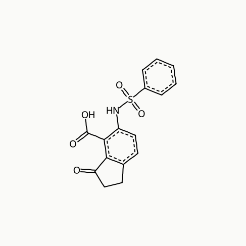 O=C1CCc2ccc(NS(=O)(=O)c3ccccc3)c(C(=O)O)c21